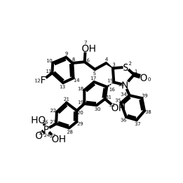 O=C1S[C@H](CCC(O)c2ccc(F)cc2)[C@@H](c2ccc(-c3ccc(P(=O)(O)O)cc3)cc2O)N1c1ccccc1